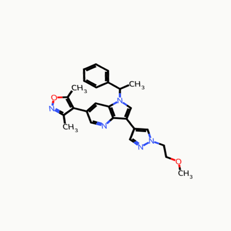 COCCn1cc(-c2cn(C(C)c3ccccc3)c3cc(-c4c(C)noc4C)cnc23)cn1